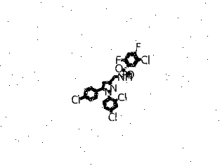 O=S(=O)(NCC1=NN(c2ccc(Cl)cc2Cl)C(c2ccc(Cl)cc2)C1)c1cc(Cl)c(F)cc1F